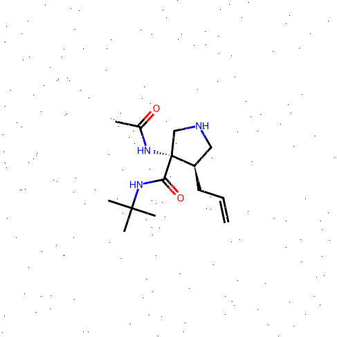 C=CC[C@@H]1CNC[C@]1(NC(C)=O)C(=O)NC(C)(C)C